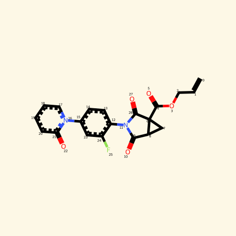 C=CCOC(=O)C12CC1C(=O)N(c1ccc(-n3ccccc3=O)cc1F)C2=O